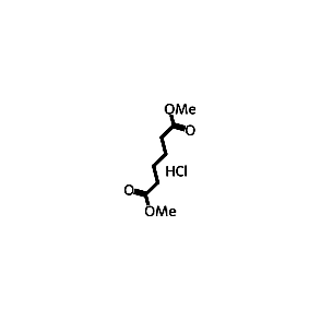 COC(=O)CCCCC(=O)OC.Cl